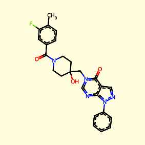 Cc1ccc(C(=O)N2CCC(O)(Cn3cnc4c(cnn4-c4ccccc4)c3=O)CC2)cc1F